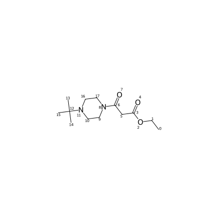 CCOC(=O)CC(=O)N1CCN(C(C)(C)C)CC1